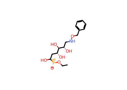 CCO[PH](=O)C(O)C[C@@H](O)[C@@H](O)[C@@H](O)CNOCc1ccccc1